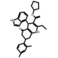 C=C(OC1CCCC1)C1=C(CC)NC2=C(C(=O)CC(c3ccc(C)cc3C)C2)C1c1cccc2[nH]ccc12